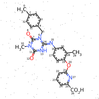 Cc1ccc(Cn2c(=O)n(C)c(=O)[nH]/c2=N\c2ccc(Oc3cccc(C(=O)O)n3)c(C)c2)cc1